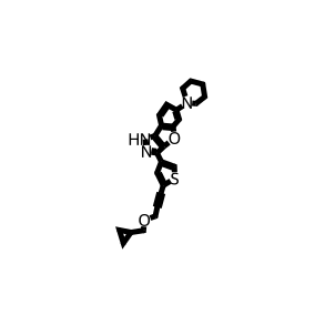 C(#Cc1cc(-c2n[nH]c3c2oc2cc(N4CCCCC4)ccc23)cs1)COCC1CC1